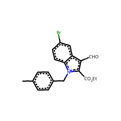 CCOC(=O)c1c(C=O)c2cc(Br)ccc2n1Cc1ccc(C)cc1